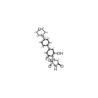 O=C1CN(c2c(O)cc(-c3ccc(N4CCOCC4)cc3)cc2F)S(=O)(=O)N1